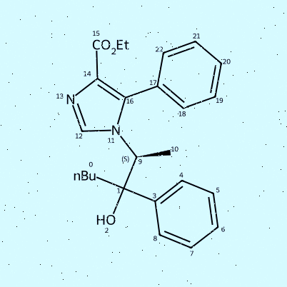 CCCCC(O)(c1ccccc1)[C@H](C)n1cnc(C(=O)OCC)c1-c1ccccc1